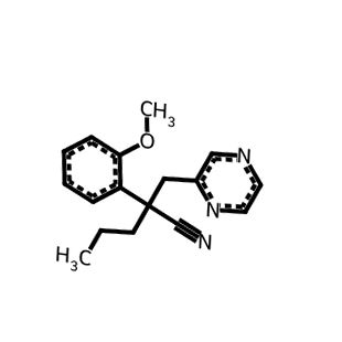 CCCC(C#N)(Cc1cnccn1)c1ccccc1OC